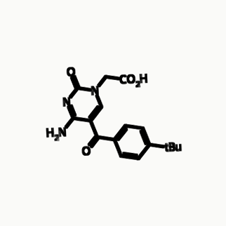 CC(C)(C)c1ccc(C(=O)c2cn(CC(=O)O)c(=O)nc2N)cc1